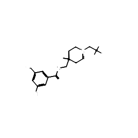 CC(C)(C)CN1CCC(F)(CNC(=O)c2cc(Cl)cc(Cl)c2)CC1